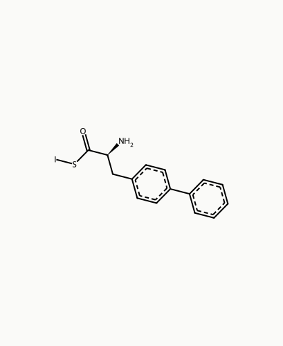 N[C@@H](Cc1ccc(-c2ccccc2)cc1)C(=O)SI